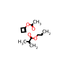 C=CCOC(=O)C(=C)C.CC(=O)OC1=CCC1